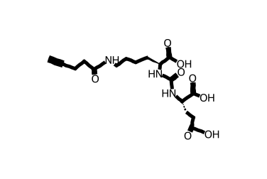 C#CCCC(=O)NCCCC[C@H](NC(=O)N[C@@H](CCC(=O)O)C(=O)O)C(=O)O